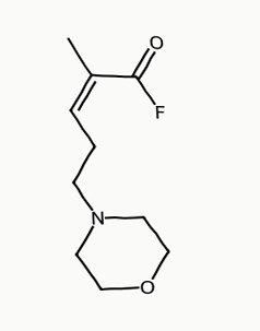 CC(=CCCN1CCOCC1)C(=O)F